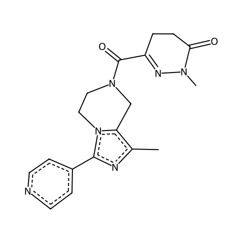 Cc1nc(-c2ccncc2)n2c1CN(C(=O)C1=NN(C)C(=O)CC1)CC2